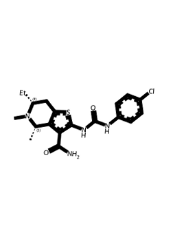 CC[C@@H]1Cc2sc(NC(=O)Nc3ccc(Cl)cc3)c(C(N)=O)c2[C@H](C)N1C